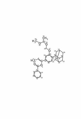 C/C=C(\OC(=O)c1ccccc1)c1ccc(C23CC4CC(CC(C4)C2)C3)c(OCOC(C)OC)c1